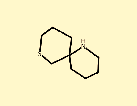 C1CCC2(CCCSC2)NC1